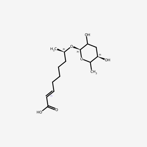 CC1O[C@@H](O[C@H](C)CCCC/C=C/C(=O)O)C(O)C[C@H]1O